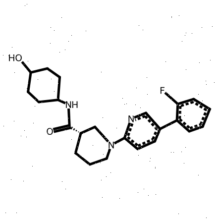 O=C(NC1CCC(O)CC1)[C@H]1CCCN(c2ccc(-c3ccccc3F)cn2)C1